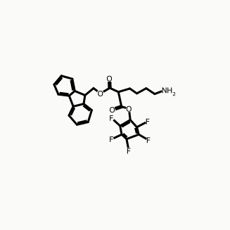 NCCCCC(C(=O)OCC1c2ccccc2-c2ccccc21)C(=O)Oc1c(F)c(F)c(F)c(F)c1F